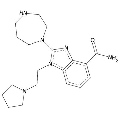 NC(=O)c1cccc2c1nc(N1CCCNCC1)n2CCN1CCCC1